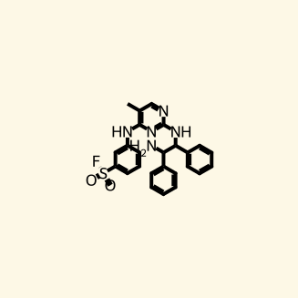 Cc1cnc(NC(c2ccccc2)C(N)c2ccccc2)nc1Nc1cccc(S(=O)(=O)F)c1